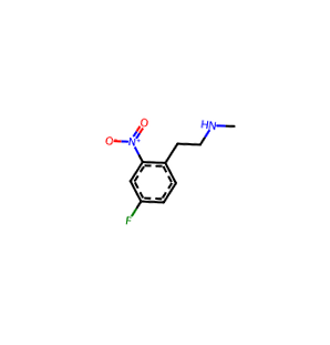 CNCCc1ccc(F)cc1[N+](=O)[O-]